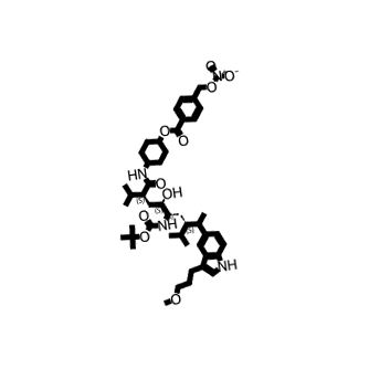 COCCCc1c[nH]c2ccc(C(C)[C@@H](C[C@H](NC(=O)OC(C)(C)C)[C@@H](O)C[C@H](C(=O)NC3CCC(OC(=O)c4ccc(CO[N+](=O)[O-])cc4)CC3)C(C)C)C(C)C)cc12